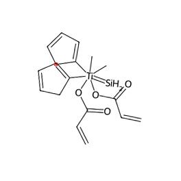 C=CC(=O)[O][Ti]([CH3])([CH3])(=[SiH2])([O]C(=O)C=C)([C]1=CC=CC1)[C]1=CC=CC1